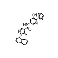 Cc1c(C(=O)Nc2cnc(-n3nccn3)c(C#N)c2)cnn1-c1cncc2ccccc12